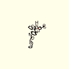 COC(=O)c1ccc2c(c1)NC(=O)C2=C(Nc1ccc(N(C)C(=O)CN2CCN(Cc3ccccc3)CC2)cc1)c1ccccc1